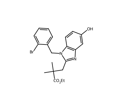 CCOC(=O)C(C)(C)Cc1nc2cc(O)ccc2n1Cc1ccccc1Br